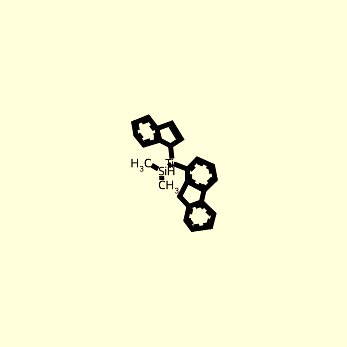 C[SiH](C)[Ti]([c]1cccc2c1Cc1ccccc1-2)[CH]1C=Cc2ccccc21